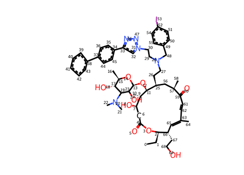 CC[C@H]1OC(=O)C[C@@H](O)[C@H](C)[C@@H](O[C@@H]2O[C@H](C)[C@@H](O)C(N(C)C)C2O)[C@@H](CCN(CCn2cc(-c3ccc(-c4ccccc4)cc3)nn2)Cc2ccc(I)cc2)C[C@@H](C)C(=O)/C=C/C(C)=C/[C@@H]1CCO